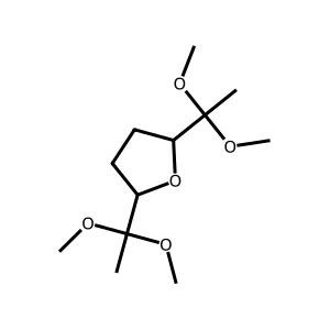 COC(C)(OC)C1CCC(C(C)(OC)OC)O1